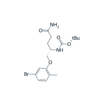 Cc1ccc(Br)cc1OC[C@H](CCC(N)=O)NC(=O)OC(C)(C)C